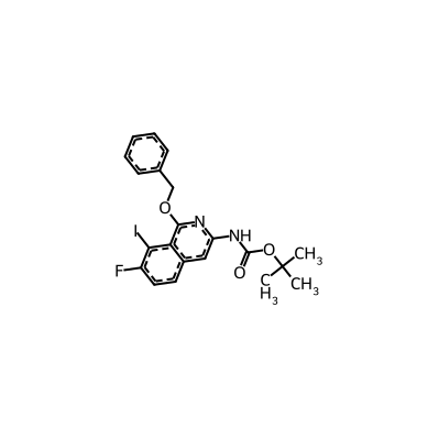 CC(C)(C)OC(=O)Nc1cc2ccc(F)c(I)c2c(OCc2ccccc2)n1